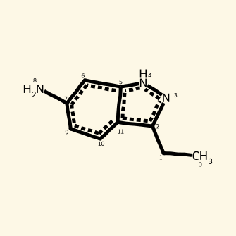 CCc1n[nH]c2cc(N)ccc12